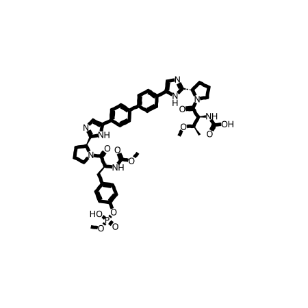 COC(=O)N[C@@H](Cc1ccc(OP(=O)(O)OC)cc1)C(=O)N1CCC[C@H]1c1ncc(-c2ccc(-c3ccc(-c4cnc([C@@H]5CCCN5C(=O)[C@@H](NC(=O)O)[C@@H](C)OC)[nH]4)cc3)cc2)[nH]1